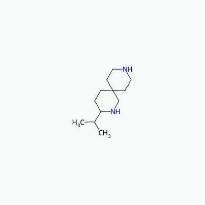 CC(C)C1CCC2(CCNCC2)CN1